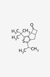 CC(C)c1sc(C(C)(C)C)c2c1CC1CC(=O)C21